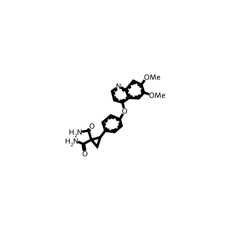 COc1cc2nccc(Oc3ccc(C4CC4(C(N)=O)C(N)=O)cc3)c2cc1OC